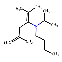 C=C(C)CC(=C(C)C)N(CCCC)C(C)C